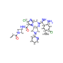 C=CC(=O)N1CC(NC(=O)c2c(Cl)nc(CNC(=N)c3cc(C(C)(C)C)c(Cl)cc3N)n2C2CCN(c3ccccn3)C2)C1